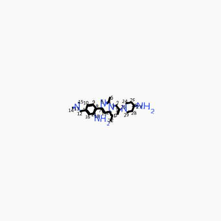 C=C(CN1C(C)=NC(c2ccc(CN(C)C)cc2N)=CC1CC)N1CCC(N)CC1